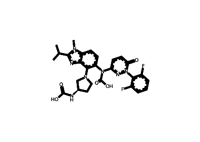 CC(C)c1nc2c(N3CC[C@@H](NC(=O)O)C3)c(N(C(=O)O)c3ccc(=O)n(-c4c(F)cccc4F)n3)ccc2n1C